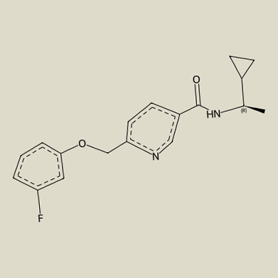 C[C@@H](NC(=O)c1ccc(COc2cccc(F)c2)nc1)C1CC1